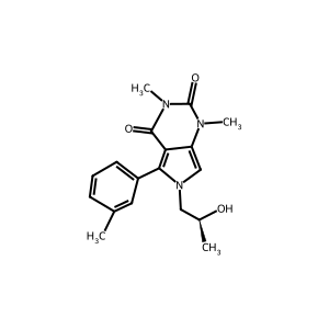 Cc1cccc(-c2c3c(=O)n(C)c(=O)n(C)c3cn2C[C@H](C)O)c1